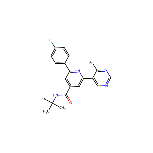 CCC(C)(C)NC(=O)c1cc(-c2ccc(F)cc2)nc(-c2cncnc2C(C)C)c1